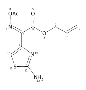 C=CCOC(=O)C(=NOC(C)=O)c1csc(N)n1